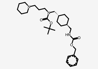 CC(C)(C)OC(=O)N(CCCN1CCCCC1)C[C@H]1CC[C@H](CNC(=O)OCc2ccccc2)CC1